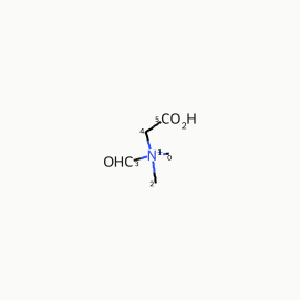 C[N+](C)(C=O)CC(=O)O